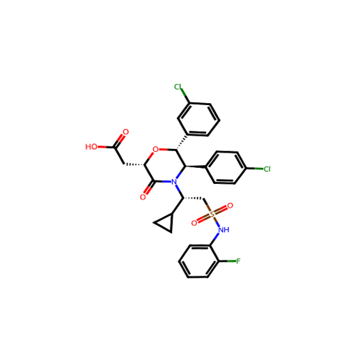 O=C(O)C[C@@H]1O[C@H](c2cccc(Cl)c2)[C@@H](c2ccc(Cl)cc2)N([C@H](CS(=O)(=O)Nc2ccccc2F)C2CC2)C1=O